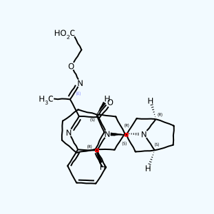 C/C(=N\OCC(=O)O)c1nc2ccccc2n([C@H]2C[C@H]3CC[C@@H](C2)N3[C@@H]2C[C@@H]3CCCC[C@@H](C3)C2)c1=O